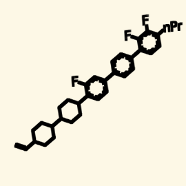 C=CC1CCC(C2CCC(c3ccc(-c4ccc(-c5ccc(CCC)c(F)c5F)cc4)cc3F)CC2)CC1